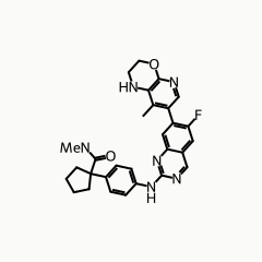 CNC(=O)C1(c2ccc(Nc3ncc4cc(F)c(-c5cnc6c(c5C)NCCO6)cc4n3)cc2)CCCC1